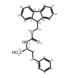 O=C(N[C@@H](CSc1ccccc1)C(=O)O)OCC1c2ccccc2-c2ccccc21